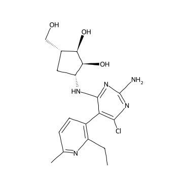 CCc1nc(C)ccc1-c1c(Cl)nc(N)nc1N[C@@H]1C[C@H](CO)[C@@H](O)[C@H]1O